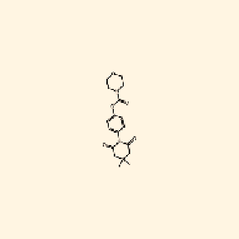 CC1(C)CC(=O)N(c2ccc(OC(=O)N3CCOCC3)cc2)C(=O)C1